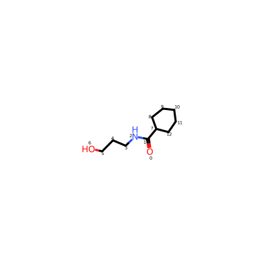 O=C(NCCCO)C1CCCCC1